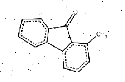 Cc1cccc2c1C(=O)c1ccccc1-2